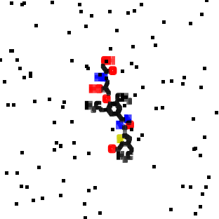 CCc1cc(-c2nc(-c3cc(C)c(OC[C@@H](O)CNC(=O)CO)c(CC)c3)no2)sc1C=O